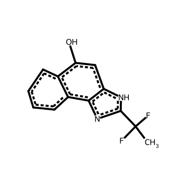 CC(F)(F)c1nc2c(cc(O)c3ccccc32)[nH]1